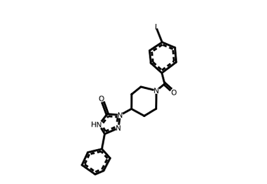 O=C(c1ccc(I)cc1)N1CCC(n2nc(-c3ccccc3)[nH]c2=O)CC1